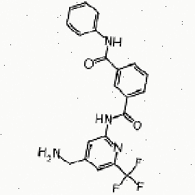 NCc1cc(NC(=O)c2cccc(C(=O)Nc3ccccc3)c2)nc(C(F)(F)F)c1